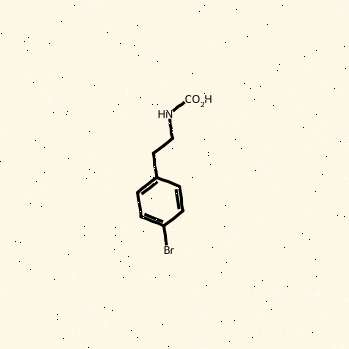 O=C(O)NCCc1ccc(Br)cc1